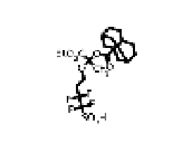 CCOC(=O)C(OCCC(F)(F)C(F)(F)S(=O)(=O)O)(OC(=O)C12CC3CCC1CCC(C3)C2)C(F)(F)F